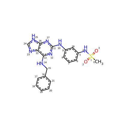 CS(=O)(=O)Nc1cccc(Nc2nc(NCc3ccccc3)c3nc[nH]c3n2)c1